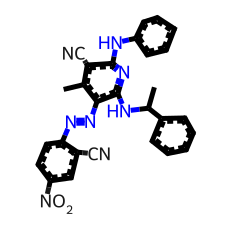 Cc1c(C#N)c(Nc2ccccc2)nc(NC(C)c2ccccc2)c1N=Nc1ccc([N+](=O)[O-])cc1C#N